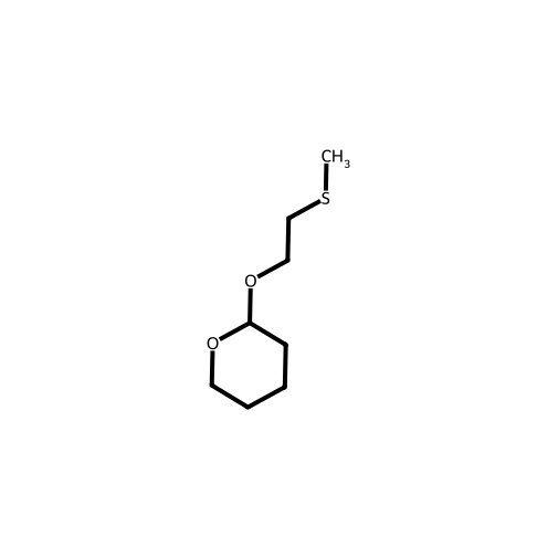 CSCCOC1CCCCO1